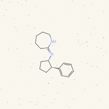 c1ccc([C@H]2CCC[C@H]2N=C2CCCCCN2)cc1